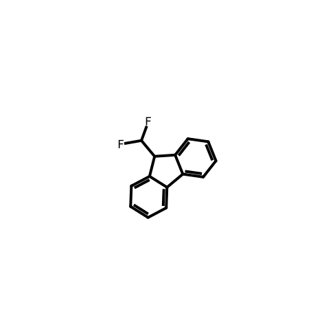 FC(F)C1c2ccccc2-c2ccccc21